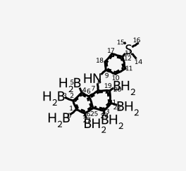 Bc1c(B)c(B)c2c(Nc3ccc(S(C)(C)C)cc3)c(B)c(B)c(B)c2c1B